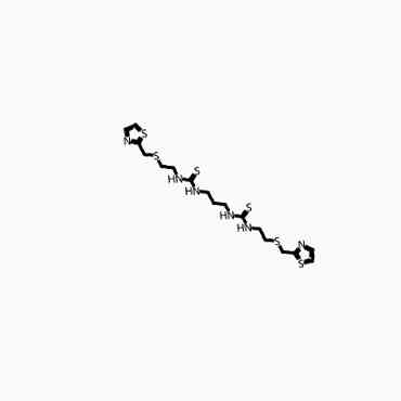 S=C(NCCCNC(=S)NCCSCc1nccs1)NCCSCc1nccs1